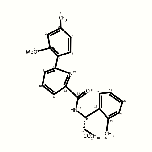 COc1cc(C(F)(F)F)ccc1-c1cccc(C(=O)N[C@@H](CC(=O)O)c2ccccc2C)n1